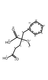 COC(CCC(=O)O)(Cc1ccccc1)C(=O)O